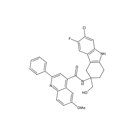 COc1ccc2nc(-c3ccccc3)cc(C(=O)NC3(CO)CCc4[nH]c5cc(Cl)c(F)cc5c4C3)c2c1